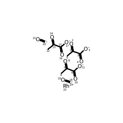 CC(=O)C(=O)[O-].CC(=O)C(=O)[O-].CC(=O)C(=O)[O-].[C]=O.[C]=O.[Rh+3]